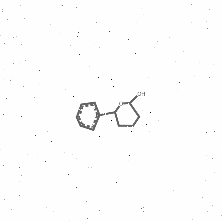 OC1CCCC(c2ccccc2)O1